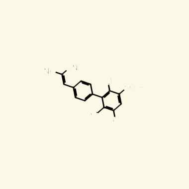 N#CC(C#N)=Cc1ccc(-c2c(Cl)c(Cl)cc(S(=O)(=O)O)c2Cl)cc1